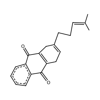 CC(C)=CCCC1=CCC2=C(C1)C(=O)c1ccccc1C2=O